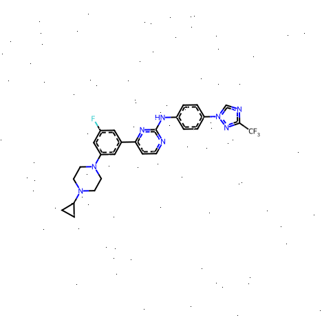 Fc1cc(-c2ccnc(Nc3ccc(-n4cnc(C(F)(F)F)n4)cc3)n2)cc(N2CCN(C3CC3)CC2)c1